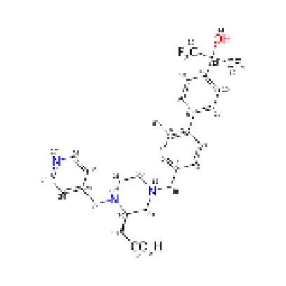 C=C(/C=C\C(=C(C)C)c1ccc(C(O)(C(F)(F)F)C(F)(F)F)cc1)CN1CCN(Cc2ccncc2)[C@H](CC(=O)O)C1